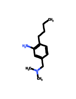 CCCCc1ccc(CN(C)C)cc1N